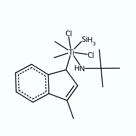 CC1=C[CH]([Ti]([CH3])([CH3])([SiH3])([Cl])([Cl])[NH]C(C)(C)C)c2ccccc21